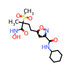 CC(CCc1cc(C(=O)NC2CCCCC2)no1)(C(=O)NO)S(C)(=O)=O